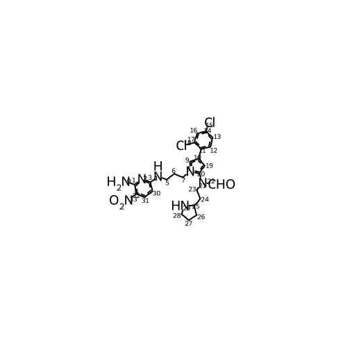 Nc1nc(NCCCn2cc(-c3ccc(Cl)cc3Cl)cc2N(C=O)CCC2CCCN2)ccc1[N+](=O)[O-]